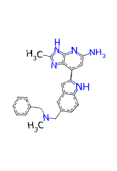 Cc1nc2c(-c3cc4cc(CN(C)Cc5ccccc5)ccc4[nH]3)cc(N)nc2[nH]1